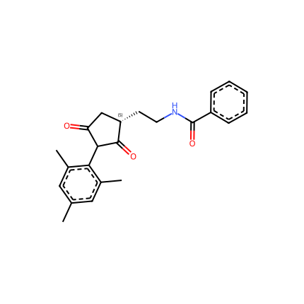 Cc1cc(C)c(C2C(=O)C[C@H](CCNC(=O)c3ccccc3)C2=O)c(C)c1